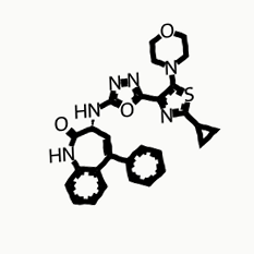 O=C1Nc2ccccc2C(c2ccccc2)=C[C@H]1Nc1nnc(-c2nc(C3CC3)sc2N2CCOCC2)o1